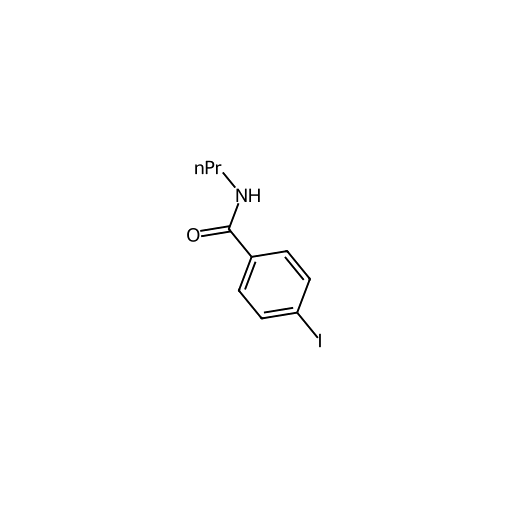 CCCNC(=O)c1ccc(I)cc1